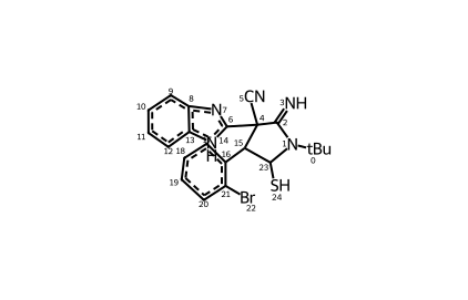 CC(C)(C)N1C(=N)C(C#N)(c2nc3ccccc3[nH]2)C(c2ccccc2Br)C1S